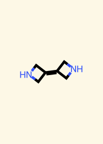 C1NCC1=C1CNC1